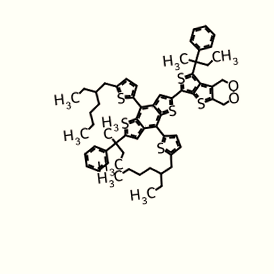 CCCCC(CC)Cc1ccc(-c2c3cc(C(C)(CC)c4ccccc4)sc3c(-c3ccc(CC(CC)CCCC)s3)c3cc(-c4sc(C(C)(CC)c5ccccc5)c5c6c(sc45)COOC6)sc23)s1